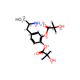 CC(C)(O)C(=O)Oc1ccc(CC(N)C(=O)O)cc1OC(=O)C(C)(C)O